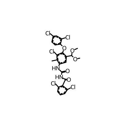 COC(OC)c1cc(NC(=O)NC(=O)c2c(Cl)cccc2Cl)c(C)c(Cl)c1Oc1ccc(Cl)cc1Cl